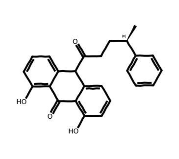 C[C@H](CCC(=O)C1c2cccc(O)c2C(=O)c2c(O)cccc21)c1ccccc1